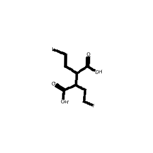 O=C(O)C(CCI)C(CCI)C(=O)O